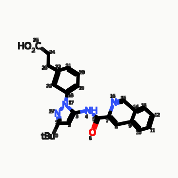 CC(C)(C)c1cc(NC(=O)c2cc3ccccc3cn2)n(-c2cccc(CCC(=O)O)c2)n1